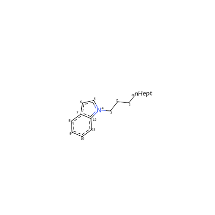 CCCCCCCCCCn1ccc2ccccc21